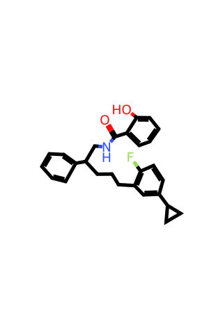 O=C(NCC(CCCc1cc(C2CC2)ccc1F)c1ccccc1)c1ccccc1O